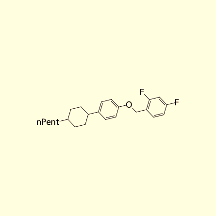 CCCCCC1CCC(c2ccc(OCc3ccc(F)cc3F)cc2)CC1